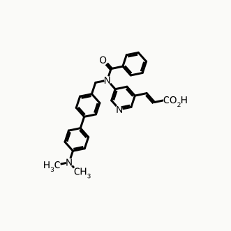 CN(C)c1ccc(-c2ccc(CN(C(=O)c3ccccc3)c3cncc(C=CC(=O)O)c3)cc2)cc1